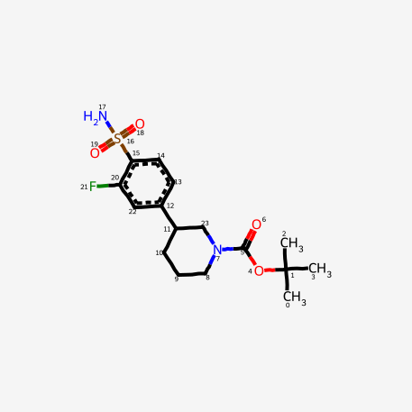 CC(C)(C)OC(=O)N1CCCC(c2ccc(S(N)(=O)=O)c(F)c2)C1